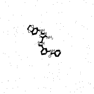 Nc1nc(Nc2ccc3c(c2)OCCO3)sc1-c1nc(-c2cccc(NC(=O)c3ccccc3)c2)cs1